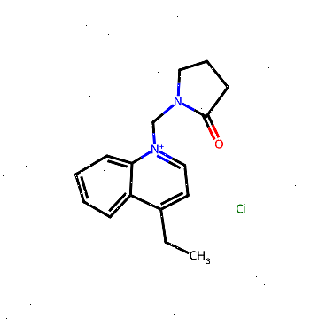 CCc1cc[n+](CN2CCCC2=O)c2ccccc12.[Cl-]